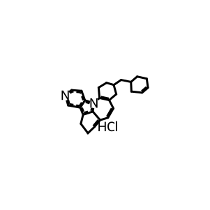 C1=CCC(CC2CCC3=C(C=CC4=CCCc5c4n3c3ccncc53)C2)CC1.Cl